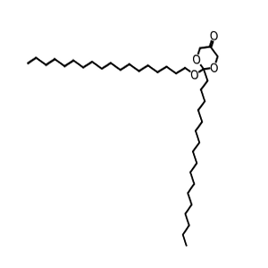 CCCCCCCCCCCCCCCCCCOC1(CCCCCCCCCCCCCCCCC)OCC(=O)CO1